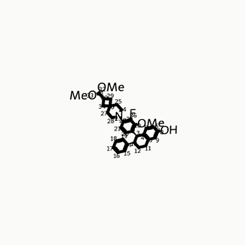 COc1c([C@H]2c3ccc(O)cc3CC[C@H]2c2ccccc2)ccc(N2CCC3(CC2)CC(C(OC)OC)C3)c1F